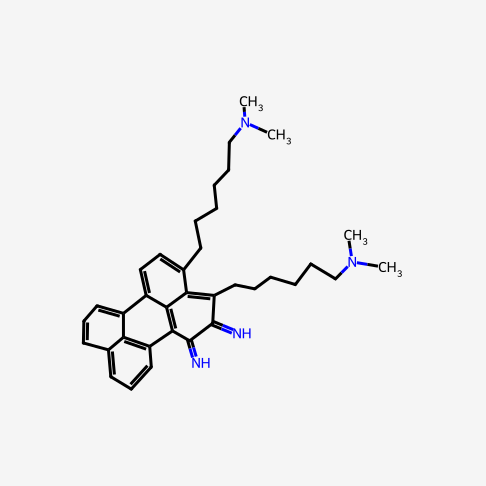 CN(C)CCCCCCc1ccc2c3cccc4cccc(c5c(=N)c(=N)c(CCCCCCN(C)C)c1c25)c43